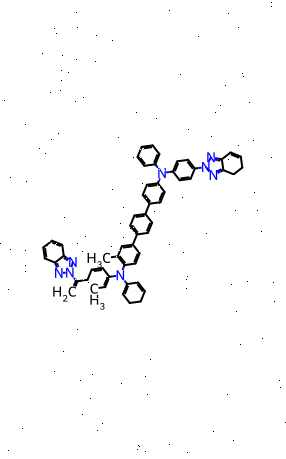 C=C(C/C=C\C(=C/C)N(C1=CCCC=C1)c1ccc(-c2ccc(-c3ccc(N(c4ccccc4)c4ccc(-n5nc6c(n5)CCC=C6)cc4)cc3)cc2)cc1C)n1nc2ccccc2n1